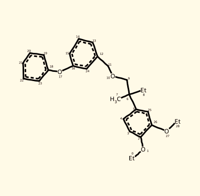 CCOc1ccc(C(C)(CC)COCc2cccc(Oc3ccccc3)c2)cc1OCC